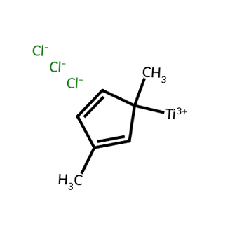 CC1=C[C](C)([Ti+3])C=C1.[Cl-].[Cl-].[Cl-]